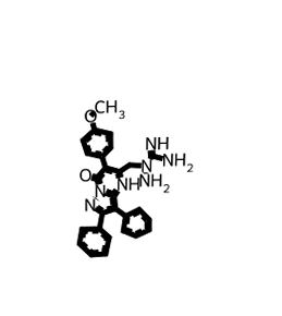 COc1ccc(-c2c(CN(N)C(=N)N)[nH]c3c(-c4ccccc4)c(-c4ccccc4)nn3c2=O)cc1